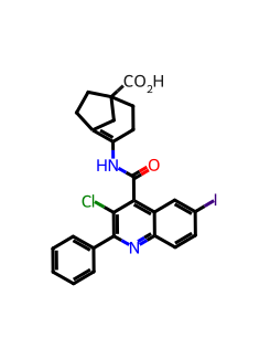 O=C(NC1=C2CCC(C(=O)O)(CC1)C2)c1c(Cl)c(-c2ccccc2)nc2ccc(I)cc12